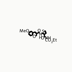 CCOC(=O)NC(=O)c1ccsc1NC(=O)C1=Cc2cc(OC)ccc2OC1